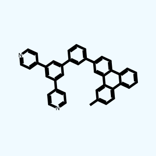 Cc1ccc2c3ccccc3c3ccc(-c4cccc(-c5cc(-c6ccncc6)cc(-c6ccncc6)c5)c4)cc3c2c1